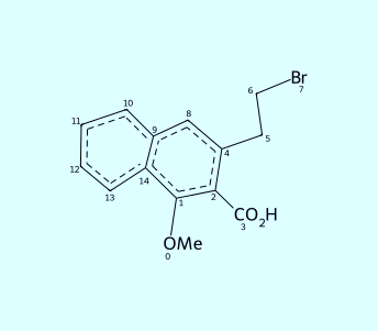 COc1c(C(=O)O)c(CCBr)cc2ccccc12